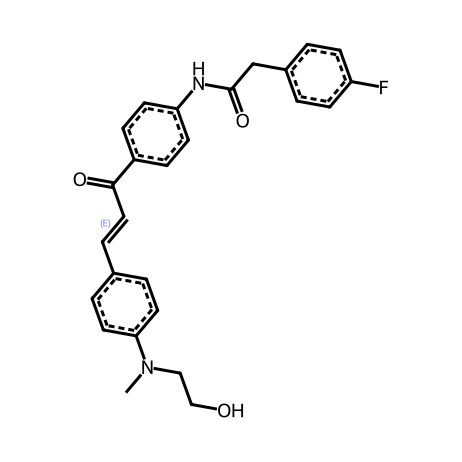 CN(CCO)c1ccc(/C=C/C(=O)c2ccc(NC(=O)Cc3ccc(F)cc3)cc2)cc1